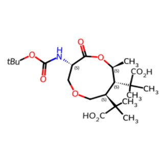 C[C@@H]1OC(=O)[C@@H](NC(=O)OC(C)(C)C)COC[C@H](C(C)(C)C(=O)O)[C@H]1C(C)(C)C(=O)O